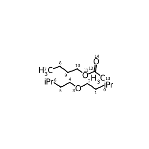 CC(C)CCOCCC(C)C.CCCCOC(C)=O